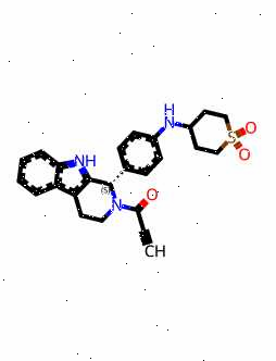 C#CC(=O)N1CCc2c([nH]c3ccccc23)[C@@H]1c1ccc(NC2CCS(=O)(=O)CC2)cc1